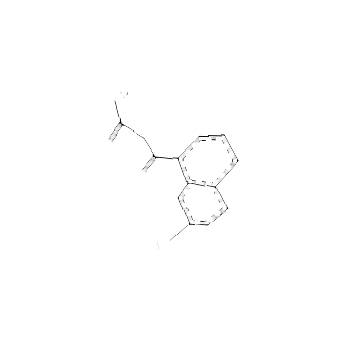 COC(=O)CC(=O)c1cccc2ccc(Br)cc12